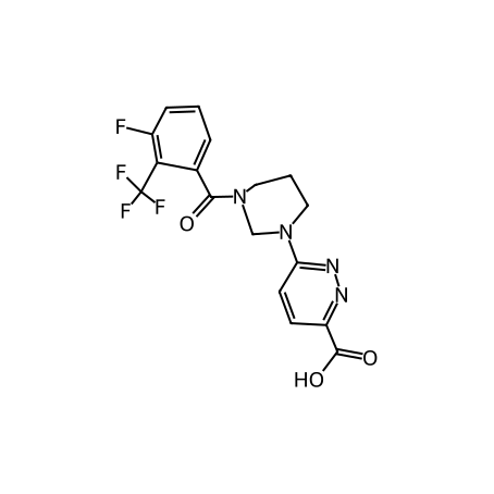 O=C(O)c1ccc(N2CCCN(C(=O)c3cccc(F)c3C(F)(F)F)C2)nn1